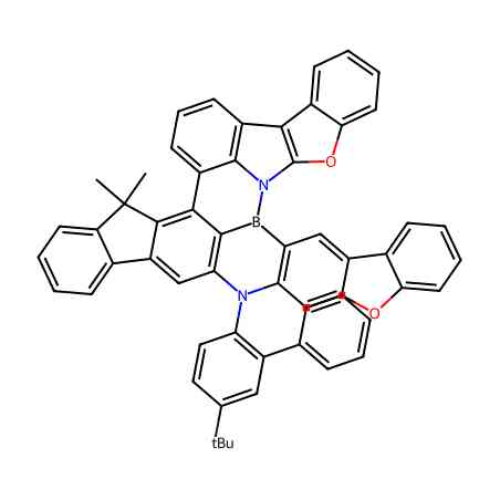 CC(C)(C)c1ccc(N2c3cc4oc5ccccc5c4cc3B3c4c2cc2c(c4-c4cccc5c6c7ccccc7oc6n3c45)C(C)(C)c3ccccc3-2)c(-c2ccccc2)c1